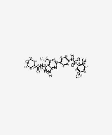 Cc1nc(-c2ccc(NS(=O)(=O)c3cc(Cl)ccc3Cl)cc2)nc2[nH]nc(NC(=O)C3CCOCC3)c12